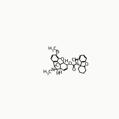 COc1ccc2c3c1O[C@H]1[C@@H](OC(=O)NC4(c5ccccc5Cl)CCCCC4=O)C=C[C@H]4[C@@H]5N(C)[C@@]25C[C@@]341